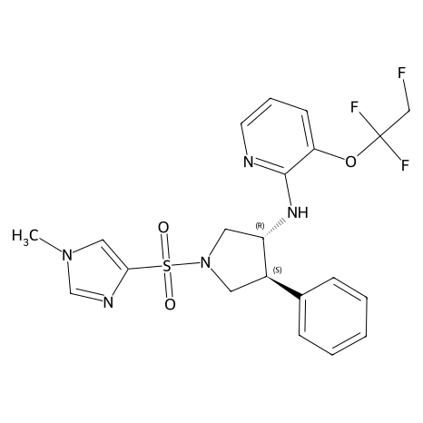 Cn1cnc(S(=O)(=O)N2C[C@H](Nc3ncccc3OC(F)(F)CF)[C@@H](c3ccccc3)C2)c1